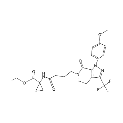 CCOC(=O)C1(NC(=O)CCCN2CCc3c(C(F)(F)F)nn(-c4ccc(OC)cc4)c3C2=O)CC1